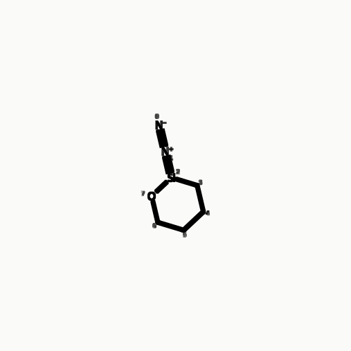 [N-]=[N+]=[Si]1CCCCO1